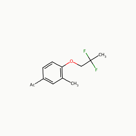 CC(=O)c1ccc(OCC(C)(F)F)c(C)c1